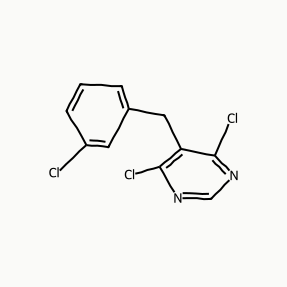 Clc1cccc(Cc2c(Cl)ncnc2Cl)c1